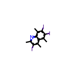 Cc1nc2c(C)c(I)c(I)c(C)c2c(C)c1I